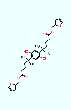 CC(C)(CCCC(=O)OCc1ccco1)c1cc(O)c(C(C)(C)CCCC(=O)OCc2ccco2)cc1O